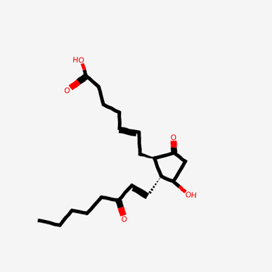 CCCCCC(=O)/C=C/[C@H]1C(O)CC(=O)[C@@H]1C/C=C/CCCC(=O)O